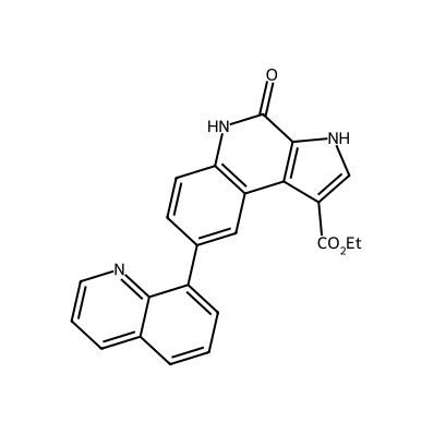 CCOC(=O)c1c[nH]c2c(=O)[nH]c3ccc(-c4cccc5cccnc45)cc3c12